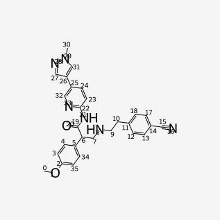 COc1ccc(C(CNCCc2ccc(C#N)cc2)C(=O)Nc2ccc(-c3cnn(C)c3)cn2)cc1